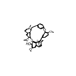 COc1ccc2cc1Oc1ccc(cc1)CC1c3cc(c(OC)cc3CCN1C)Oc1c(O)c(OC)cc3c1[C@H](C2)N(C)CC3